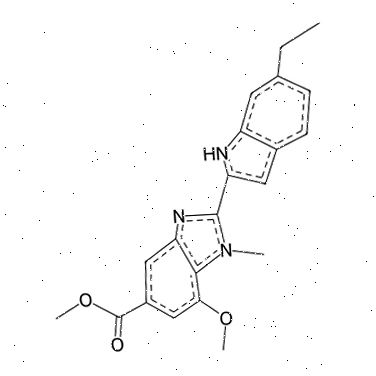 CCc1ccc2cc(-c3nc4cc(C(=O)OC)cc(OC)c4n3C)[nH]c2c1